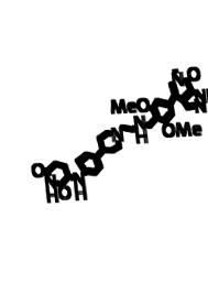 COc1cc(-c2cn(C)c(=O)c3[nH]ncc23)cc(OC)c1CNCCN1CCC(c2ccc(NC3CCC(=O)NC3=O)cc2)CC1